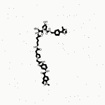 Cc1ncsc1-c1ccc(CNC(=O)[C@@H]2C[C@@H](O)CN2C(=O)C(NC(=O)CCCCNC(=O)CC2CCN(Cc3nc4cc(NC(=O)c5ccc6c(cnn6C)c5)ccc4[nH]3)C2)C(C)(C)C)cc1